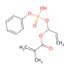 C=CC(OC(=O)C(=C)C)OP(=O)(O)Oc1ccccc1